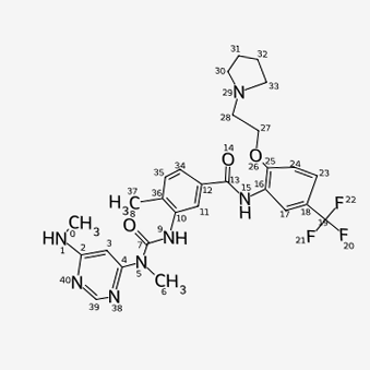 CNc1cc(N(C)C(=O)Nc2cc(C(=O)Nc3cc(C(F)(F)F)ccc3OCCN3CCCC3)ccc2C)ncn1